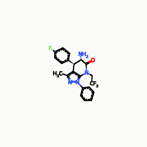 Cc1nn(-c2ccccc2)c2c1[C@H](c1ccc(F)cc1)[C@H](N)C(=O)N2CC(F)(F)F